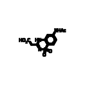 CC(=O)Nc1ccc2c(c1)NC(CC(=O)O)=NS2(=O)=O